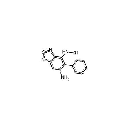 Nc1cc2nsnc2c(NS)c1-c1ccccc1